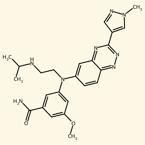 COc1cc(C(N)=O)cc(N(CCNC(C)C)c2ccc3nnc(-c4cnn(C)c4)nc3c2)c1